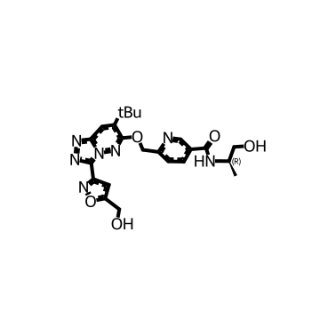 C[C@H](CO)NC(=O)c1ccc(COc2nn3c(-c4cc(CO)on4)nnc3cc2C(C)(C)C)nc1